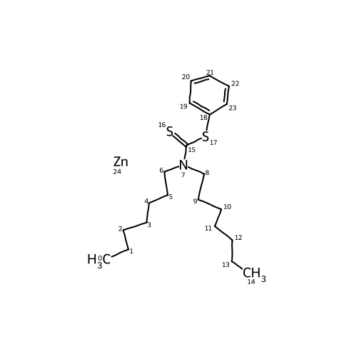 CCCCCCCN(CCCCCCC)C(=S)Sc1ccccc1.[Zn]